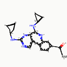 CNC(=O)c1ccc2c(c1)nc(NC1CC1)c1nc(NC3CC3)ncc12